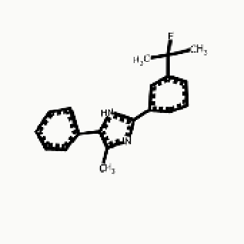 Cc1nc(-c2cccc(C(C)(C)F)c2)[nH]c1-c1ccccc1